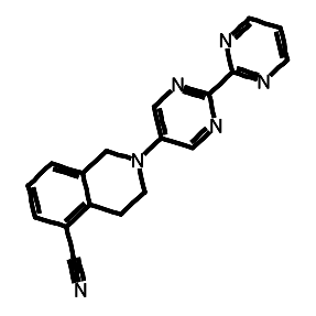 N#Cc1cccc2c1CCN(c1cnc(-c3ncccn3)nc1)C2